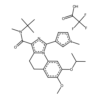 COc1cc2c(cc1OC(C)C)-n1c(-c3ccn(C)c3)nc(C(=O)N(C)C(C)(C)C)c1CC2.O=C(O)C(F)(F)F